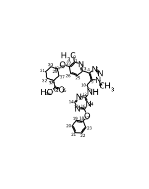 Cc1nc(-c2nnn(C)c2CNc2ncnc(Oc3ccccc3)n2)ccc1O[C@H]1CCC[C@H](C(=O)O)C1